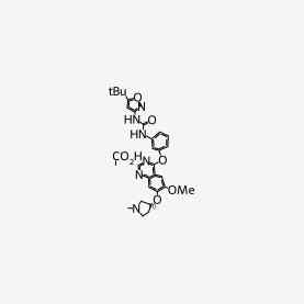 CC(=O)O.COc1cc2c(Oc3cccc(NC(=O)Nc4cc(C(C)(C)C)on4)c3)ncnc2cc1O[C@@H]1CCN(C)C1